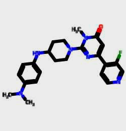 CN(C)c1ccc(NC2CCN(c3nc(-c4ccncc4F)cc(=O)n3C)CC2)cc1